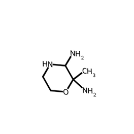 CC1(N)OCCNC1N